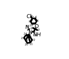 CC(C)(Oc1ccc(Cl)cc1)C(=N)N(C#N)C1C2CC3CC(C2)CC1C3